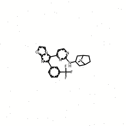 CN1C2CCC1CC(Nc1nccc(-c3c(-c4cccc(C(F)(F)F)c4)nc4occn34)n1)C2